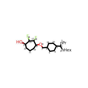 CCCCCCC(CCC)C1CCC(COC2CCCC(O)C(F)C2F)CC1